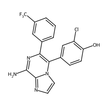 Nc1nc(-c2cccc(C(F)(F)F)c2)c(-c2ccc(O)c(Cl)c2)n2ccnc12